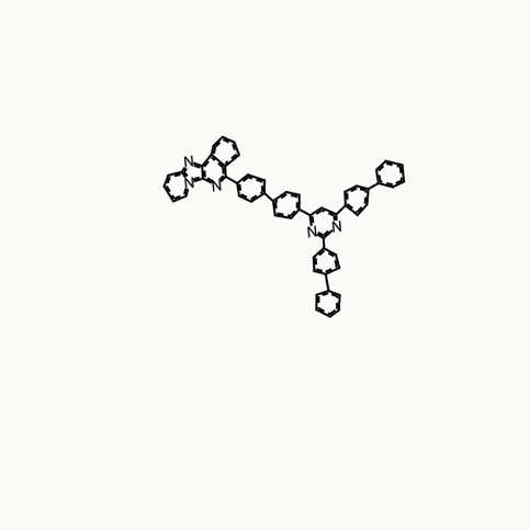 c1ccc(-c2ccc(-c3cc(-c4ccc(-c5ccc(-c6nc7c(nc8ccccn87)c7ccccc67)cc5)cc4)nc(-c4ccc(-c5ccccc5)cc4)n3)cc2)cc1